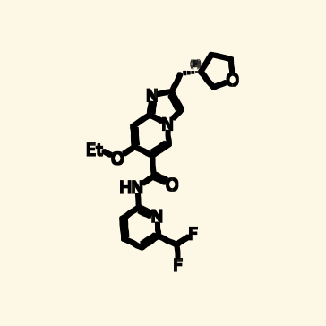 CCOc1cc2nc(C[C@@H]3CCOC3)cn2cc1C(=O)Nc1cccc(C(F)F)n1